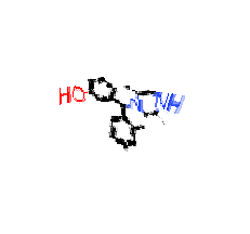 Cc1ccccc1C(c1cccc(O)c1)N1C[C@@H](C)NC[C@@H]1C